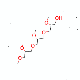 COCC(COCC(COCC(CO)OC)OC)OC